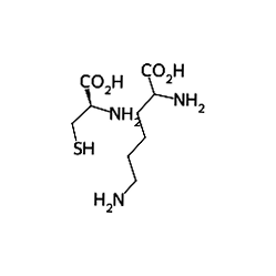 NCCCCC(N)C(=O)O.N[C@@H](CS)C(=O)O